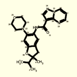 CC(C)C1(C)Cc2cc(NC(=O)c3cnn4cccnc34)c(N3CCOCC3)cc2O1